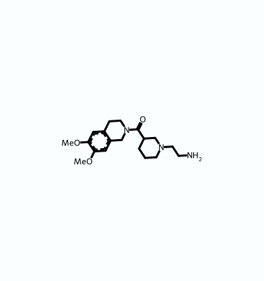 COc1cc2c(cc1OC)CN(C(=O)C1CCCN(CCN)C1)CC2